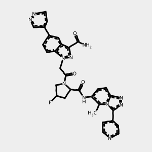 Cc1c(NC(=O)C2CC(F)CN2C(=O)Cn2nc(C(N)=O)c3cc(-c4ccnnc4)ccc32)ccc2nnc(-c3ccncc3)n12